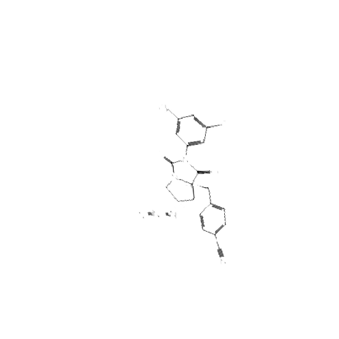 N#Cc1ccc(C[C@@]23C[C@H](N=[N+]=[N-])CN2C(=O)N(c2cc(Cl)cc(Cl)c2)C3=O)cc1